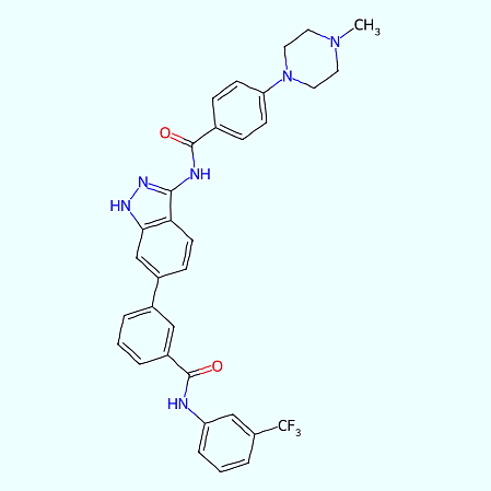 CN1CCN(c2ccc(C(=O)Nc3n[nH]c4cc(-c5cccc(C(=O)Nc6cccc(C(F)(F)F)c6)c5)ccc34)cc2)CC1